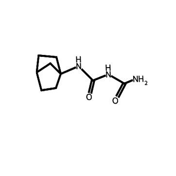 NC(=O)NC(=O)NC12CCC(CC1)C2